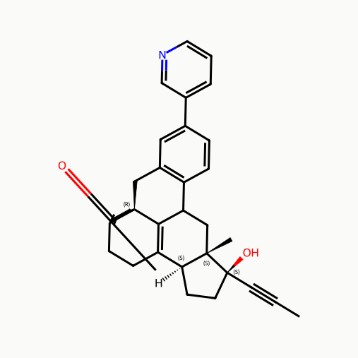 CC#C[C@]1(O)CC[C@H]2C3=C4C(C[C@@]21C)c1ccc(-c2cccnc2)cc1C[C@@]41CCC(=O)C=C1CC3